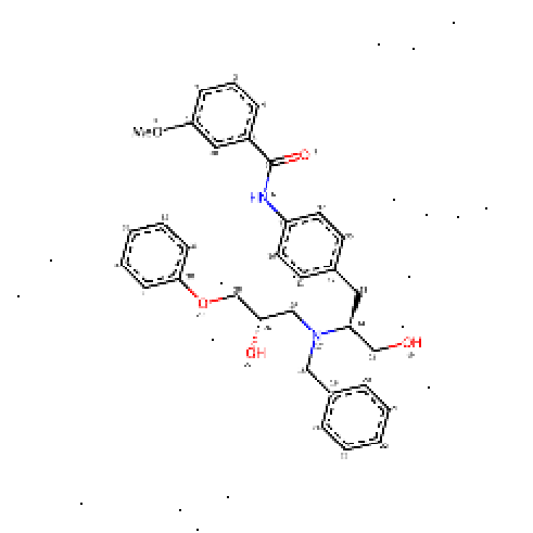 COc1cccc(C(=O)Nc2ccc(C[C@@H](CO)N(Cc3ccccc3)C[C@H](O)COc3ccccc3)cc2)c1